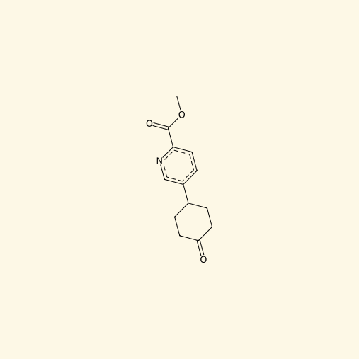 COC(=O)c1ccc(C2CCC(=O)CC2)cn1